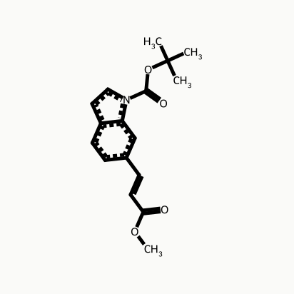 COC(=O)/C=C/c1ccc2ccn(C(=O)OC(C)(C)C)c2c1